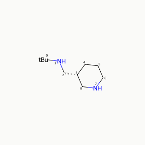 CC(C)(C)NC[C@@H]1CCCNC1